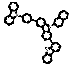 c1ccc2cc(-n3c4ccc(-c5ccc(-n6c7ccccc7c7ccccc76)cc5)cc4c4ccc(-c5cccc6c5sc5ccccc56)cc43)ccc2c1